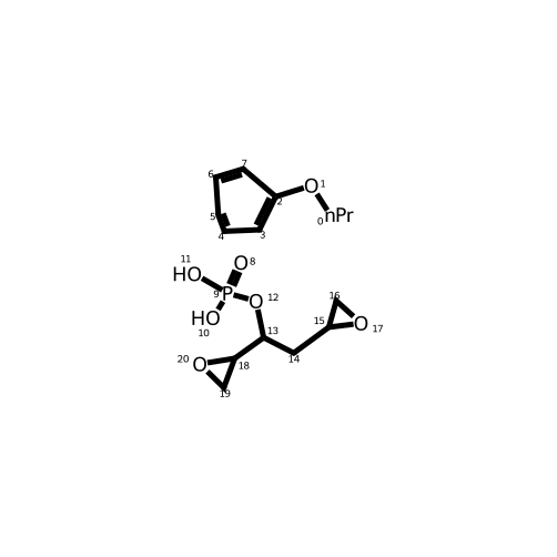 CCCOc1ccccc1.O=P(O)(O)OC(CC1CO1)C1CO1